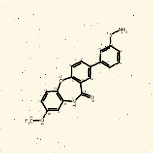 NSc1cccc(-c2ccc3c(c2)C(=O)Nc2cc(OC(F)(F)F)ccc2O3)c1